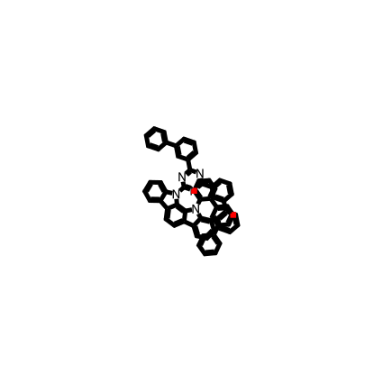 c1ccc(-c2cccc(-c3nc(-c4cccc(-c5ccccc5)c4)nc(-n4c5ccccc5c5ccc6c7ccccc7n(-c7ccccc7-c7cccc(-c8ccccc8)c7)c6c54)n3)c2)cc1